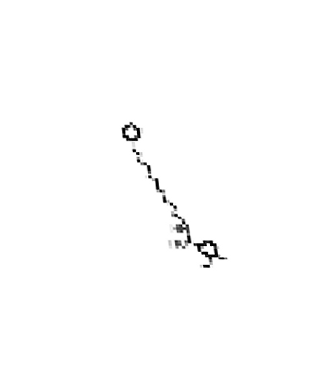 CCc1cc(C(O)CNCCCCCCCCCCCCc2ccccc2)ccc1C